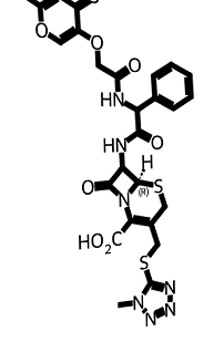 Cc1cc(=S)c(OCC(=O)NC(C(=O)NC2C(=O)N3C(C(=O)O)=C(CSc4nnnn4C)CS[C@H]23)c2ccccc2)co1